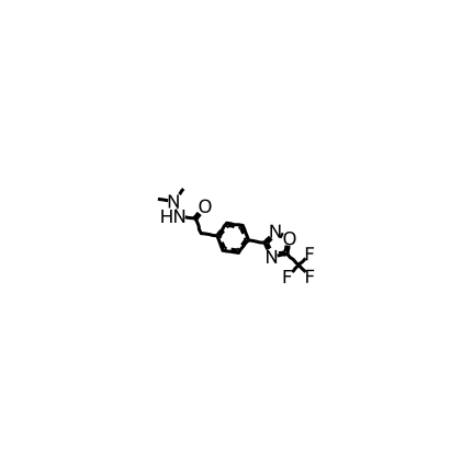 CN(C)NC(=O)Cc1ccc(-c2noc(C(F)(F)F)n2)cc1